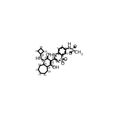 CS(=O)(=O)Nc1ccc2c(c1)S(=O)(=O)N=C(C1=C(O)C3CCCCCC3N(NC3CCC3)C1=O)N2